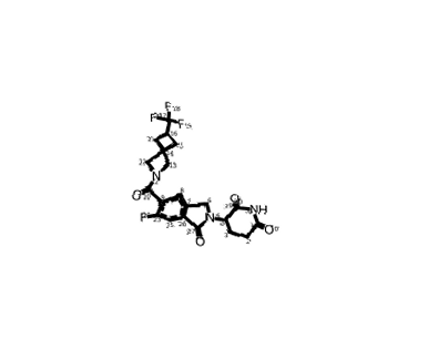 O=C1CCC(N2Cc3cc(C(=O)N4CC5(CC(C(F)(F)F)C5)C4)c(F)cc3C2=O)C(=O)N1